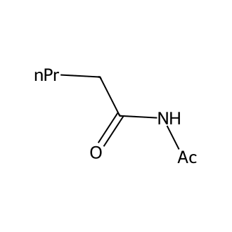 CCCCC(=O)NC(C)=O